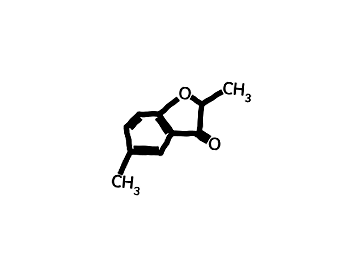 Cc1ccc2c(c1)C(=O)C(C)O2